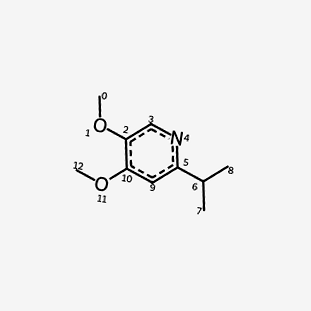 COc1cnc(C(C)C)cc1OC